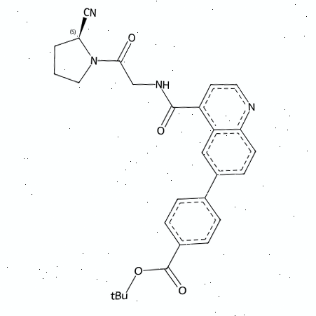 CC(C)(C)OC(=O)c1ccc(-c2ccc3nccc(C(=O)NCC(=O)N4CCC[C@H]4C#N)c3c2)cc1